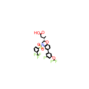 CC(CC(=O)O)[C@H]1CN(S(=O)(=O)c2cccc(C(F)(F)F)c2)c2cc(-c3cc(F)cc(OC(F)F)c3)ccc2O1